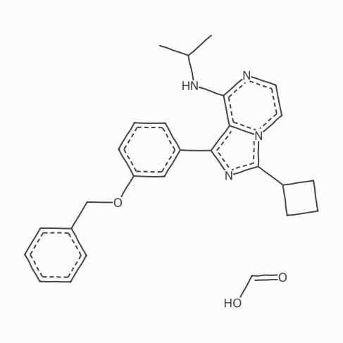 CC(C)Nc1nccn2c(C3CCC3)nc(-c3cccc(OCc4ccccc4)c3)c12.O=CO